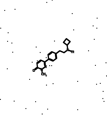 CCN(CCc1ccc(-c2ccc(=O)n(C)n2)cc1)C1CCC1